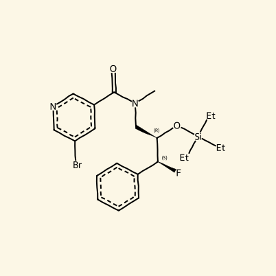 CC[Si](CC)(CC)O[C@H](CN(C)C(=O)c1cncc(Br)c1)[C@@H](F)c1ccccc1